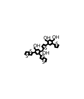 OCc1cc(CO)c(-c2ccc(C(O)c3cc(CO)c(-c4cc5sccc5s4)cc3-c3cc4sccc4s3)s2)cc1-c1cccs1